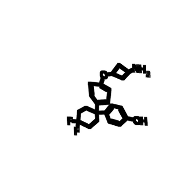 NC1CC(Oc2ccc(C3(c4ccc(O)cc4)CCC(F)(F)CC3)cc2)C1